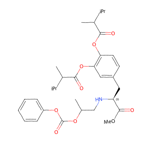 COC(=O)[C@H](Cc1ccc(OC(=O)C(C)C(C)C)c(OC(=O)C(C)C(C)C)c1)NCC(C)OC(=O)Oc1ccccc1